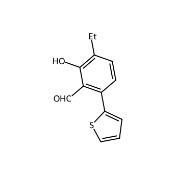 CCc1ccc(-c2cccs2)c(C=O)c1O